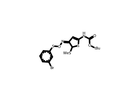 CSC1SC(NC(=O)OC(C)(C)C)=CC1=NOSc1cccc(Br)c1